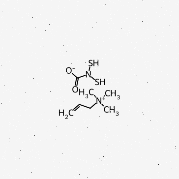 C=CC[N+](C)(C)C.O=C([O-])N(S)S